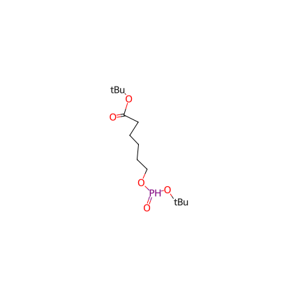 CC(C)(C)OC(=O)CCCCCO[PH](=O)OC(C)(C)C